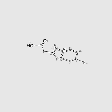 O=C(O)Cc1cc2cc(F)ccc2[nH]1